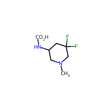 CN1CC(NC(=O)O)CC(F)(F)C1